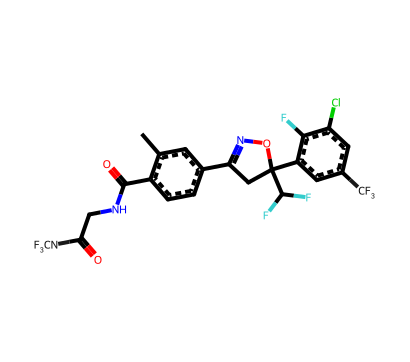 Cc1cc(C2=NOC(c3cc(C(F)(F)F)cc(Cl)c3F)(C(F)F)C2)ccc1C(=O)NCC(=O)NC(F)(F)F